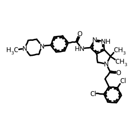 CN1CCN(c2ccc(C(=O)Nc3n[nH]c4c3CN(C(=O)Cc3c(Cl)cccc3Cl)C4(C)C)cc2)CC1